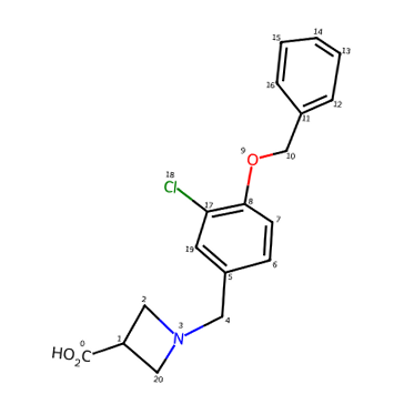 O=C(O)C1CN(Cc2ccc(OCc3ccccc3)c(Cl)c2)C1